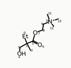 CCC(C)(CO)C(=O)OCC[N+](C)(C)C